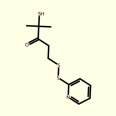 CC(C)(S)C(=O)CCSSc1ccccn1